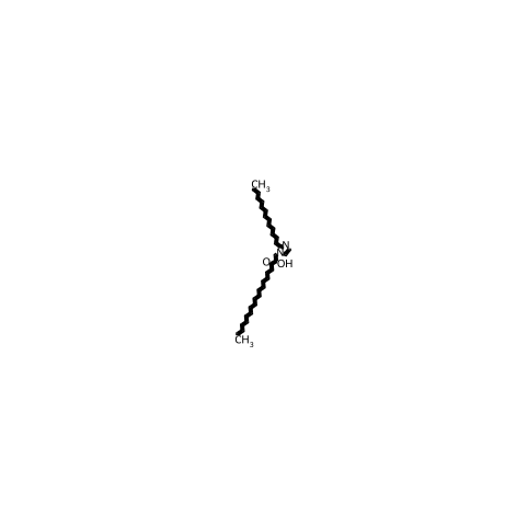 CCCCCCCCCCCCCCCCCC(=O)C(O)CN1CCN=C1CCCCCCCCCCCCCC